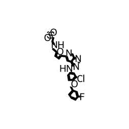 CS(=O)(=O)CCNCc1ccc(-c2cc3c(Nc4ccc(OCc5cccc(F)c5)c(Cl)c4)ncnc3cn2)o1